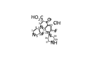 Cl.O=C(O)c1cn(-c2ccncc2F)c2cc(N3CCNCC3)c(F)cc2c1=O